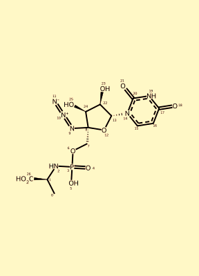 C[C@H](NP(=O)(O)OC[C@@]1(N=[N+]=[N-])O[C@@H](n2ccc(=O)[nH]c2=O)[C@H](O)[C@@H]1O)C(=O)O